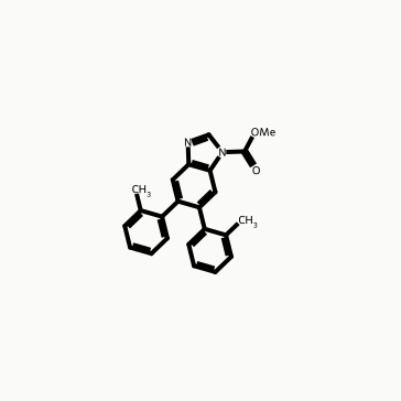 COC(=O)n1cnc2cc(-c3ccccc3C)c(-c3ccccc3C)cc21